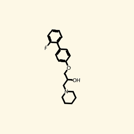 OC(COc1ccc(-c2ccccc2F)cc1)CN1CCCCC1